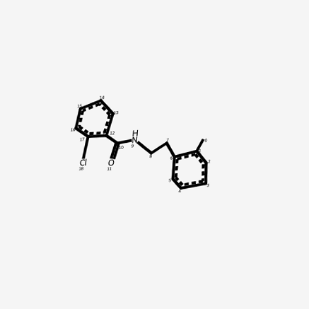 Cc1ccccc1CCNC(=O)c1ccccc1Cl